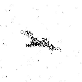 CC(=NC(=O)OCc1ccc([N+](=O)[O-])cc1)N1CC[C@@H](NC(=O)[C@@H]2C[C@H](S)CN2C(=O)OCc2ccc([N+](=O)[O-])cc2)C1